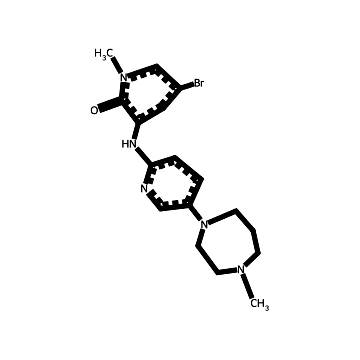 CN1CCCN(c2ccc(Nc3cc(Br)cn(C)c3=O)nc2)CC1